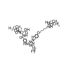 CC(C)(C)OC(=O)NCCCCCCOc1ccc(CNc2nc(Nc3ccc(C(=O)NC4CN(C(=O)OC(C)(C)C)CC4C(=O)O)cc3)nc(OCC(F)(F)F)n2)cc1